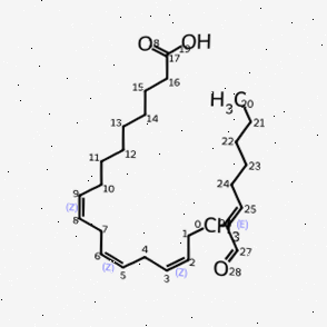 CC/C=C\C/C=C\C/C=C\CCCCCCCC(=O)O.CCCCC/C=C/C=O